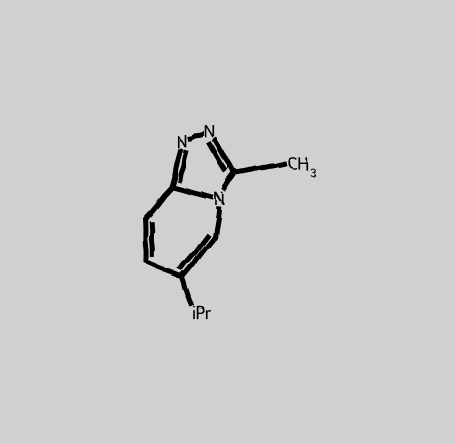 Cc1nnc2ccc(C(C)C)cn12